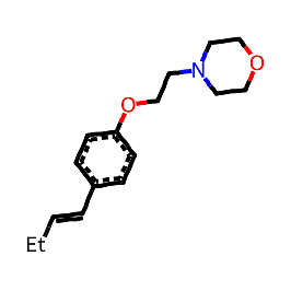 CC/C=C/c1ccc(OCCN2CCOCC2)cc1